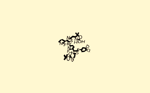 CC(C)(C)C(Cc1nc(-c2cccnc2F)c(Br)s1)NC(=O)O.COc1ccc(Sc2sc(CN(C)C(=O)OC(C)(C)C)nc2-c2cccnc2F)cc1OC